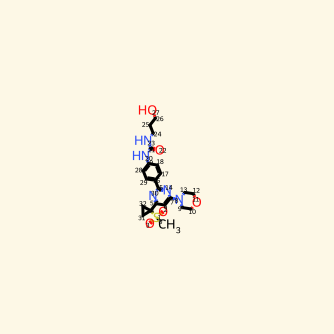 CS(=O)(=O)C1(c2cc(N3CCOCC3)nc(-c3ccc(NC(=O)NCCCO)cc3)n2)CC1